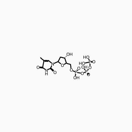 Cc1cn(C2C[C@H](O)C(COP(=O)(O)OP(=O)(O)OP(=O)(O)O)O2)c(=O)[nH]c1=O